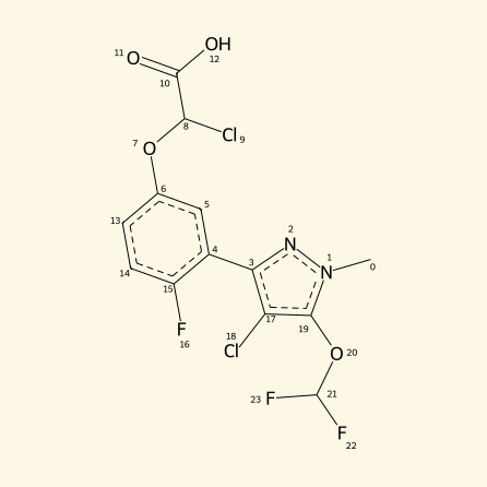 Cn1nc(-c2cc(OC(Cl)C(=O)O)ccc2F)c(Cl)c1OC(F)F